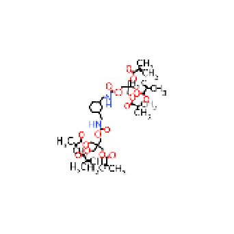 C=C(C)C(=O)OCC(COC(=O)NCC1CCCC(CNC(=O)OCC(COC(=O)C(=C)C)(COC(=O)C(=C)C)COC(=O)C(=C)C)C1)(COC(=O)C(=C)C)COC(=O)C(=C)C